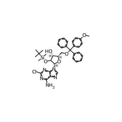 COc1ccc(C(OC[C@H]2O[C@@H](n3cnc4c(N)nc(Cl)nc43)C(O[Si](C)(C)C(C)(C)C)[C@@H]2O)(c2ccccc2)c2ccccc2)cc1